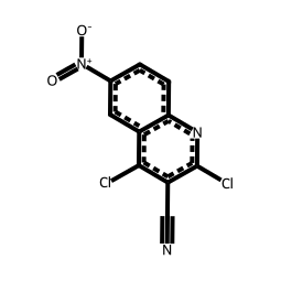 N#Cc1c(Cl)nc2ccc([N+](=O)[O-])cc2c1Cl